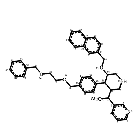 COC(c1cccnc1)C1CNCC(OCc2ccc3ccccc3c2)C1c1ccc(COCCOCc2ccccc2)cc1